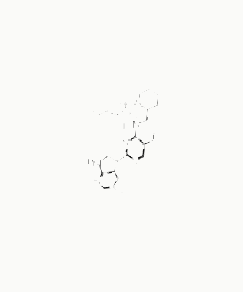 CCCCS(=O)(=O)N1CCCCC1CNc1nc(C2CNc3ncc(Cl)cc32)ncc1F